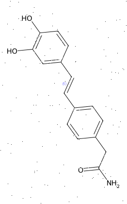 NC(=O)Cc1ccc(/C=C/c2ccc(O)c(O)c2)cc1